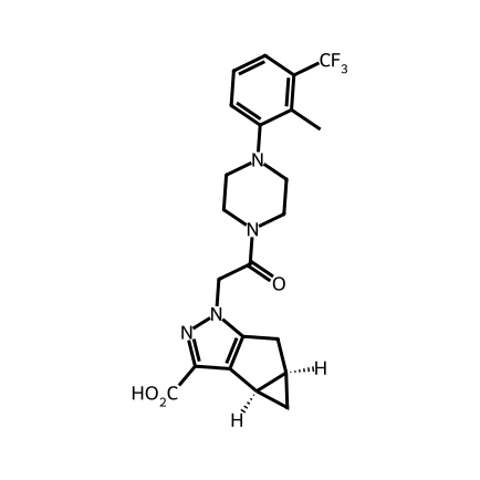 Cc1c(N2CCN(C(=O)Cn3nc(C(=O)O)c4c3C[C@H]3C[C@@H]43)CC2)cccc1C(F)(F)F